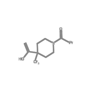 C=C(O)C1(C(F)(F)F)CCN(C(=O)C(C)C)CC1